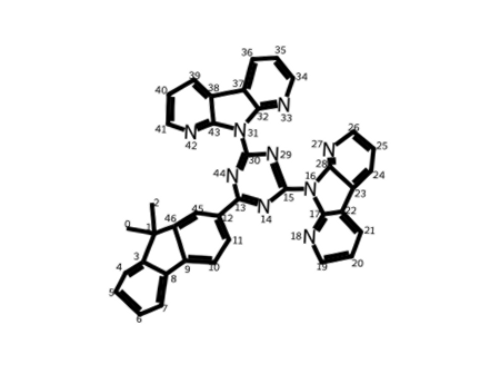 CC1(C)c2ccccc2-c2ccc(-c3nc(-n4c5ncccc5c5cccnc54)nc(-n4c5ncccc5c5cccnc54)n3)cc21